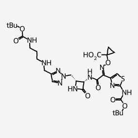 CC(C)(C)OC(=O)NCCCNCc1cnn(C[C@H]2NC(=O)[C@H]2NC(=O)C(=NOC2(C(=O)O)CC2)c2csc(NC(=O)OC(C)(C)C)n2)n1